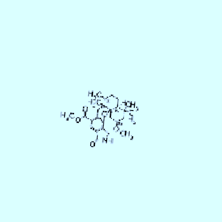 COC(=O)c1cc2c(c3c1C[C@]1(C)[C@@H](C)CC[C@H]4C(C)(C)C[C@@H](OC)C[C@]41O3)CNC2=O